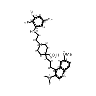 COc1ccc2ncc(N(C)C)c(CCCC3(C(=O)O)CCN(CCNc4cc(F)cc(F)c4F)CC3)c2c1